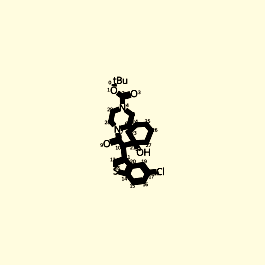 CC(C)(C)OC(=O)N1CCN(C(=O)C(c2csc3ccc(Cl)cc23)C2(O)CCCCC2)CC1